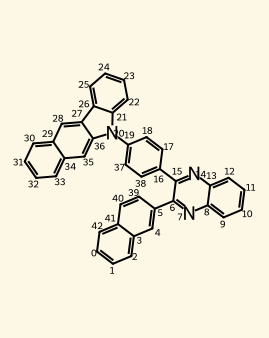 c1ccc2cc(-c3nc4ccccc4nc3-c3ccc(-n4c5ccccc5c5cc6ccccc6cc54)cc3)ccc2c1